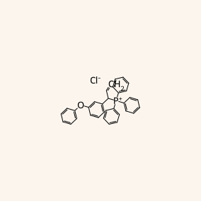 C=CC(c1cccc(Oc2ccccc2)c1)[P+](c1ccccc1)(c1ccccc1)c1ccccc1.[Cl-]